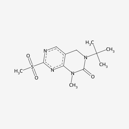 CN1C(=O)N(C(C)(C)C)Cc2cnc(S(C)(=O)=O)nc21